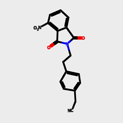 N#CCc1ccc(CCN2C(=O)c3cccc([N+](=O)[O-])c3C2=O)cc1